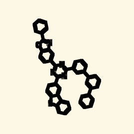 c1ccc(-c2cccc(-c3cccc(-c4nc(-c5ccc6oc(-c7ccccc7)nc6c5)nc(-c5ccc6sc7ccccc7c6c5)n4)c3)c2)cc1